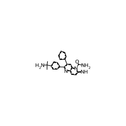 CC(C)(N)c1ccc(-c2nc3ccc(=N)n(C(N)=O)c3cc2-c2ccccc2)cc1